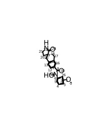 COc1cccc(N(O)C(=O)c2ccc3c(c2)CC[C@@]2(CCNC2=O)C3)c1